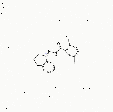 O=C(N/N=C1/CCCc2ccccc21)c1cc(F)ccc1F